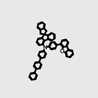 c1ccc(-c2ccc(-c3ccc(N(c4ccc(-c5cccc6c5oc5ccccc56)cc4)c4cccc5c4-c4ccccc4C54Cc5ccccc5C4)cc3)cc2)cc1